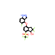 O=S(=O)(c1ccc(Oc2c(F)ccc3[nH]ncc23)c2c1C(O)C(F)(F)C2)C(F)(F)F